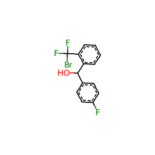 OC(c1ccc(F)cc1)c1ccccc1C(F)(F)Br